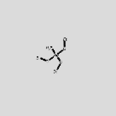 CC[O][Ag]([PH2])([O]CC)[O]CC